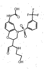 O=CC(NCCO)C1CN(S(=O)(=O)c2cccc(C(F)(F)F)c2)c2cc(NC(=O)O)ccc2O1